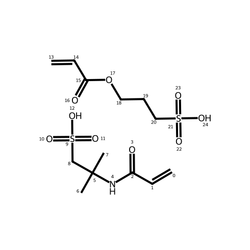 C=CC(=O)NC(C)(C)CS(=O)(=O)O.C=CC(=O)OCCCS(=O)(=O)O